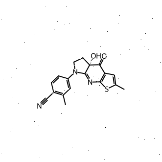 Cc1cc2c(s1)N=C1N(c3ccc(C#N)c(C)c3)CC[C@@]1(O)C2=O